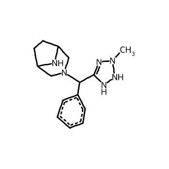 CN1N=C(C(c2ccccc2)N2CC3CCC(C2)N3)NN1